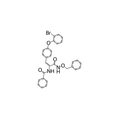 O=C(NOCc1ccccc1)/C(=C\c1ccc(Oc2ccccc2Br)cc1)NC(=O)c1ccccc1